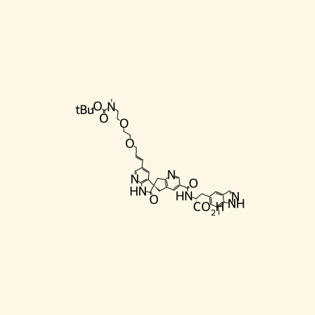 Cc1cc(C[C@@H](NC(=O)c2cnc3c(c2)C[C@@]2(C3)C(=O)Nc3ncc(/C=C/COCCOCCN(C)C(=O)OC(C)(C)C)cc32)C(=O)O)cc2cn[nH]c12